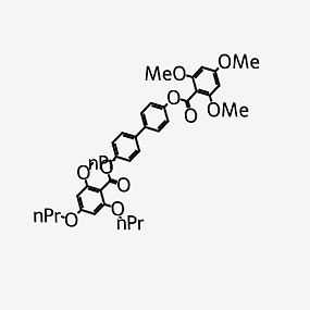 CCCOc1cc(OCCC)c(C(=O)Oc2ccc(-c3ccc(OC(=O)c4c(OC)cc(OC)cc4OC)cc3)cc2)c(OCCC)c1